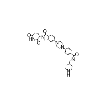 CN(CC1CCNCC1)C(=O)c1ccc(N2CCN(c3ccc4c(c3)CN(C3CCC(=O)NC3=O)C4=O)CC2)cc1